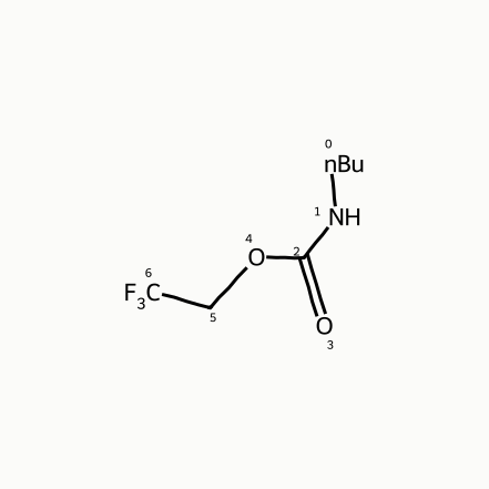 CCCCNC(=O)OCC(F)(F)F